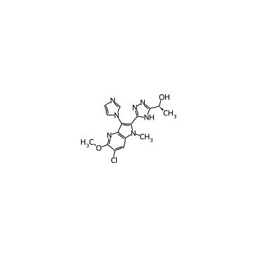 COc1nc2c(-n3ccnc3)c(-c3nnc([C@H](C)O)[nH]3)n(C)c2cc1Cl